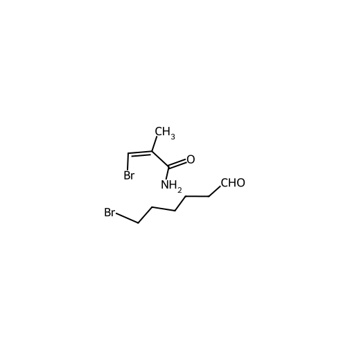 CC(=CBr)C(N)=O.O=CCCCCCBr